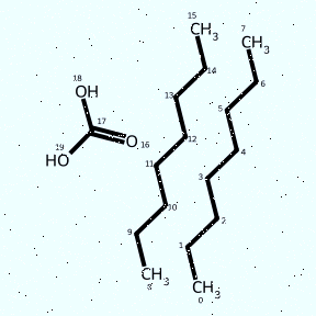 CCCCCCCC.CCCCCCCC.O=C(O)O